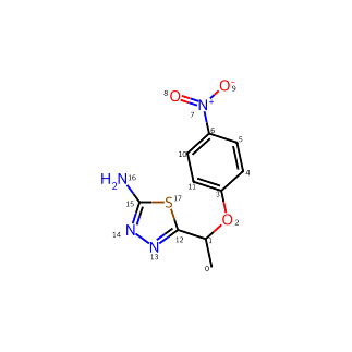 CC(Oc1ccc([N+](=O)[O-])cc1)c1nnc(N)s1